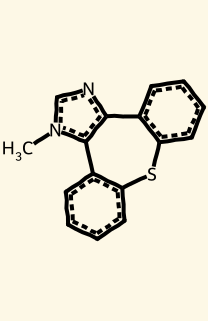 Cn1cnc2c1-c1ccccc1Sc1ccccc1-2